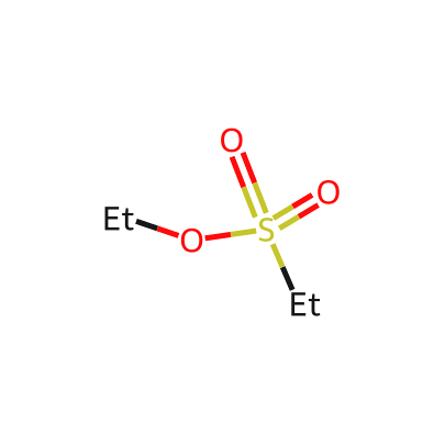 [CH2]CS(=O)(=O)OCC